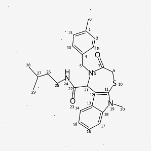 Cc1ccc(CN2C(=O)CSc3c(c4ccccc4n3C)C2C(=O)NCCC(C)C)cc1